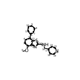 COc1ccc(-c2ccccc2)c2sc(NCc3ccncc3)nc12